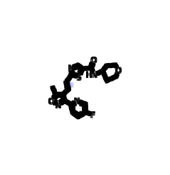 Cc1onc(-c2ccc(F)cn2)c1/C=C/c1ncc(C(=O)NC2CCOCC2)s1